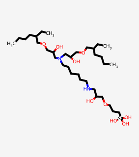 CCCCC(CC)COCC(O)CN(CCCCCCNCC(O)COCCC[Si](O)(O)O)CC(O)COCC(CC)CCCC